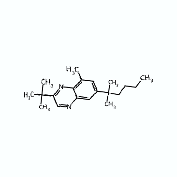 CCCCC(C)(C)c1cc(C)c2nc(C(C)(C)C)cnc2c1